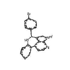 Brc1ccc(C2Nc3ccccc3-c3ccnc4[nH]cc2c34)cc1